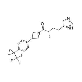 O=C(C(F)CCc1cnn[nH]1)N1CC(c2ccc(C3(C(F)(F)F)CC3)cc2)C1